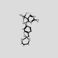 O=P1(Cc2ccc(Nc3nc(Cl)ncc3C(F)(F)F)cc2)OCCCO1